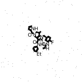 C=CC(=O)Nc1cc(Cn2nc(C(=O)Nc3cccc(CC)c3)c3c2C(C)CN(C(=O)c2ccc[nH]2)C3)ccc1F